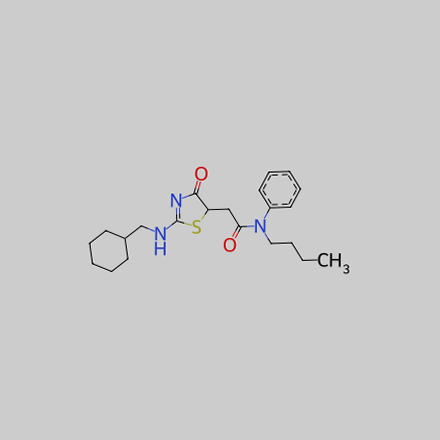 CCCCN(C(=O)CC1SC(NCC2CCCCC2)=NC1=O)c1ccccc1